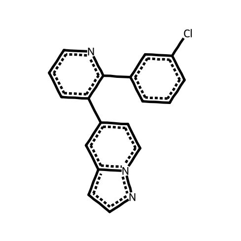 Clc1cccc(-c2ncccc2-c2ccn3nccc3c2)c1